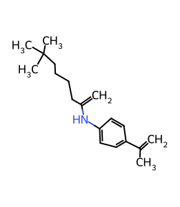 C=C(CCCCC(C)(C)C)Nc1ccc(C(=C)C)cc1